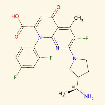 Cc1c(F)c(N2CCC([C@H](C)N)C2)nc2c1c(=O)cc(C(=O)O)n2-c1ccc(F)cc1F